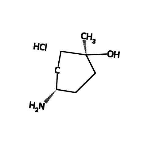 C[C@]1(O)CC[C@H](N)CC1.Cl